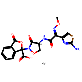 CON=C(C(=O)N[C@H]1CON(C2(C(=O)[O-])OC(=O)c3ccccc32)C1=O)c1csc(N)n1.[Na+]